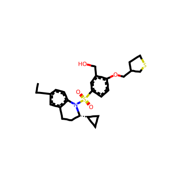 CCc1ccc2c(c1)CC[C@@H](C1CC1)N2S(=O)(=O)c1ccc(OCC2CCSC2)c(CO)c1